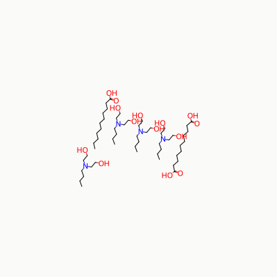 CCCCCCCCCCC(=O)O.CCCCN(CCO)CCO.CCCCN(CCO)CCO.CCCCN(CCO)CCO.CCCCN(CCO)CCO.O=C(O)CCCCCCCCCC(=O)O